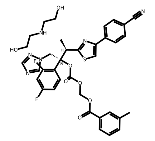 Cc1cccc(C(=O)OCOC(=O)O[C@@](Cn2cncn2)(c2ccc(F)cc2F)[C@@H](C)c2nc(-c3ccc(C#N)cc3)cs2)c1.OCCNCCO